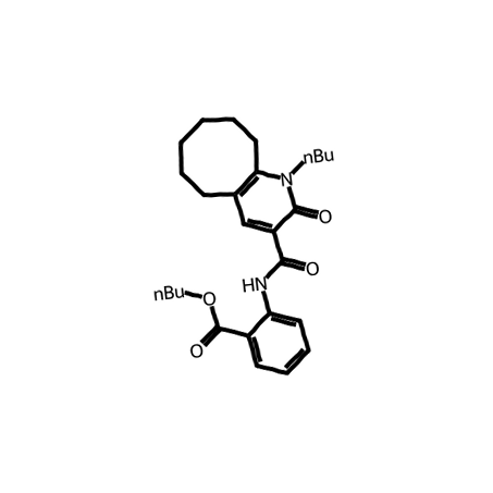 CCCCOC(=O)c1ccccc1NC(=O)c1cc2c(n(CCCC)c1=O)CCCCCC2